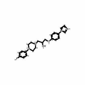 OC(COc1ccc(-n2ccnc2)cc1)CN1CCN(c2ccc(F)cc2)CC1